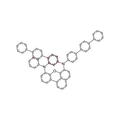 c1ccc(-c2ccc(-c3ccc(N(c4ccc(-c5ccc(-c6ccccc6)cc5)cc4)c4ccc5cccc6c5c4Oc4c-6cccc4N(c4ccccc4)c4ccccc4)cc3)cc2)cc1